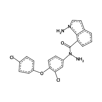 NN(C(=O)c1cccc2ccn(N)c12)c1ccc(Oc2ccc(Cl)cc2)c(Cl)c1